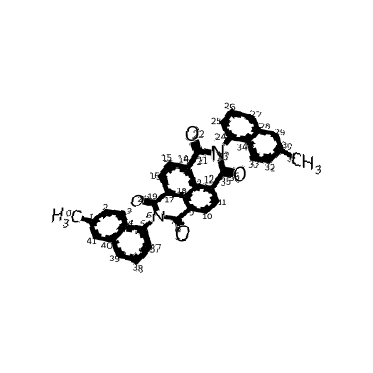 Cc1ccc2c(N3C(=O)c4ccc5c6c(ccc(c46)C3=O)C(=O)N(c3cccc4cc(C)ccc34)C5=O)cccc2c1